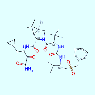 CC(C)[C@@H](CS(=O)(=O)Cc1ccccc1)NC(=O)N[C@H](C(=O)N1C[C@H]2C([C@H]1C(=O)NC(CC1CC1)C(=O)C(N)=O)C2(C)C)C(C)(C)C